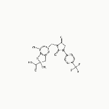 CC1(C(=O)O)Cc2cc(CN3C(=O)CN(c4ccc(C(F)(F)F)cc4)C3=O)cc(Cl)c2O1